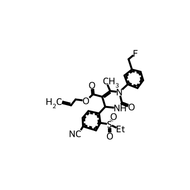 C=CCOC(=O)C1=C(C)N(c2cccc(CF)c2)C(=O)NC1c1ccc(C#N)cc1S(=O)(=O)CC